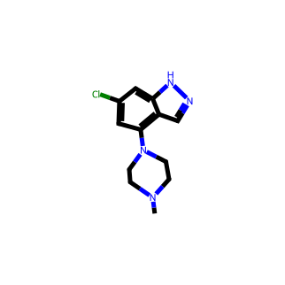 CN1CCN(c2cc(Cl)cc3[nH]ncc23)CC1